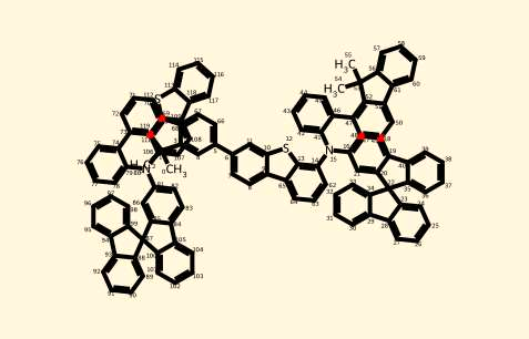 CC1(C)c2cc(-c3ccc4c(c3)sc3c(N(c5ccc6c(c5)C5(c7ccccc7-c7ccccc75)c5ccccc5-6)c5ccccc5-c5cccc6c5C(C)(C)c5ccccc5-6)cccc34)ccc2-c2cccc(-c3ccccc3N(c3ccc4c(c3)C3(c5ccccc5-c5ccccc53)c3ccccc3-4)c3ccc4c(c3)sc3ccccc34)c21